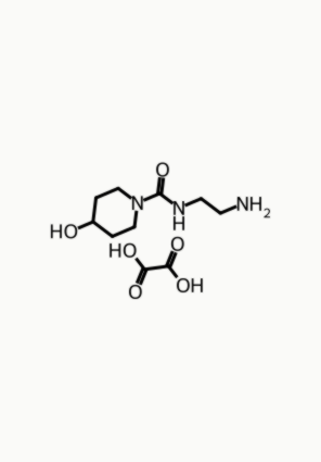 NCCNC(=O)N1CCC(O)CC1.O=C(O)C(=O)O